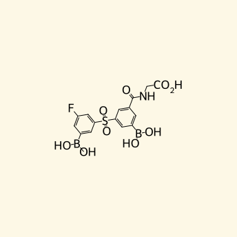 O=C(O)CNC(=O)c1cc(B(O)O)cc(S(=O)(=O)c2cc(F)cc(B(O)O)c2)c1